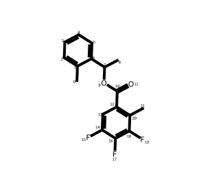 Cc1ccccc1C(C)OC(=O)c1cc(F)c(F)c(F)c1C